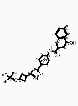 O=C(NC12CCC(c3nnc(C4CC(OC(F)(F)F)C4)o3)(CC1)OC2)C1CC(O)c2cc(Cl)ccc2O1